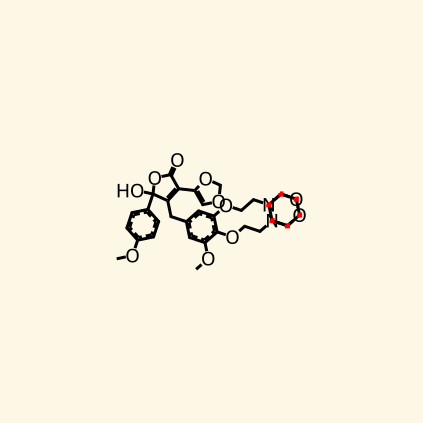 COc1ccc(C2(O)OC(=O)C(C3=COCO3)=C2Cc2cc(OC)c(OCCN3CCOCC3)c(OCCN3CCOCC3)c2)cc1